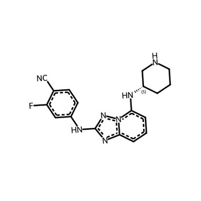 N#Cc1ccc(Nc2nc3cccc(N[C@H]4CCCNC4)n3n2)cc1F